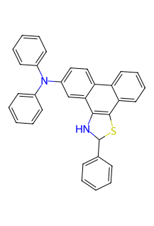 c1ccc(C2Nc3c(c4ccccc4c4ccc(N(c5ccccc5)c5ccccc5)cc34)S2)cc1